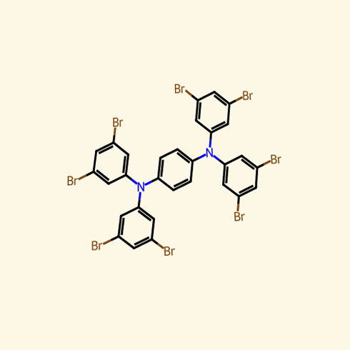 Brc1cc(Br)cc(N(c2ccc(N(c3cc(Br)cc(Br)c3)c3cc(Br)cc(Br)c3)cc2)c2cc(Br)cc(Br)c2)c1